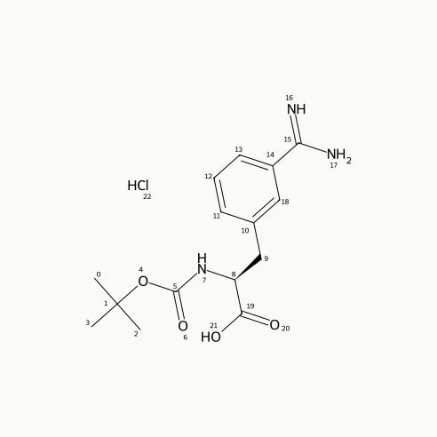 CC(C)(C)OC(=O)N[C@@H](Cc1cccc(C(=N)N)c1)C(=O)O.Cl